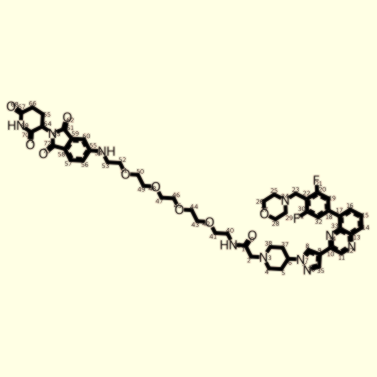 O=C(CN1CCC(n2cc(-c3cnc4cccc(-c5cc(F)c(CN6CCOCC6)c(F)c5)c4n3)cn2)CC1)NCCOCCOCCOCCOCCNc1ccc2c(c1)C(=O)N(C1CCC(=O)NC1=O)C2=O